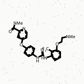 CNCCOc1cccc(NC(=O)Nc2ccc(Oc3ccnc(C(=O)NC)c3)cc2)c1C(F)(F)F